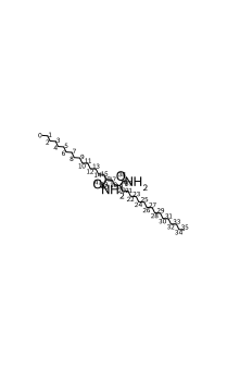 CCCCCCCCCCCCCCCCC(CCC(CCCCCCCCCCCCCCCC)C(N)=O)C(N)=O